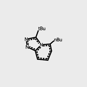 CCCCc1cccc2nnc(C(C)(C)C)n12